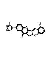 O=c1c2c(oc3ccc(-c4nnn[nH]4)cc13)C(=Cc1c(Cl)cccc1Cl)CC2